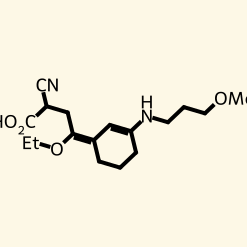 CCOC(CC(C#N)C(=O)O)=C1C=C(NCCCOC)CCC1